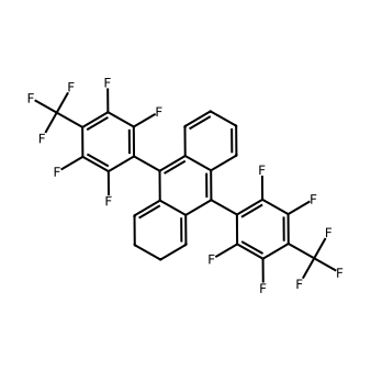 Fc1c(F)c(C(F)(F)F)c(F)c(F)c1-c1c2c(c(-c3c(F)c(F)c(C(F)(F)F)c(F)c3F)c3ccccc13)=CCCC=2